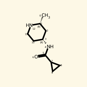 C[C@@H]1C[C@H](NC(=O)C2CC2)CCN1